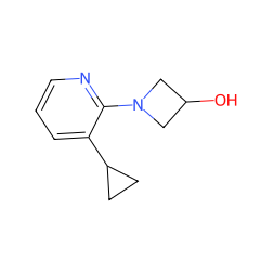 OC1CN(c2ncccc2C2CC2)C1